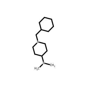 CN(C)C1CCN(CC2CCCCC2)CC1